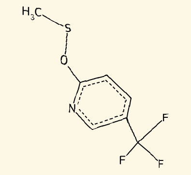 CSOc1ccc(C(F)(F)F)cn1